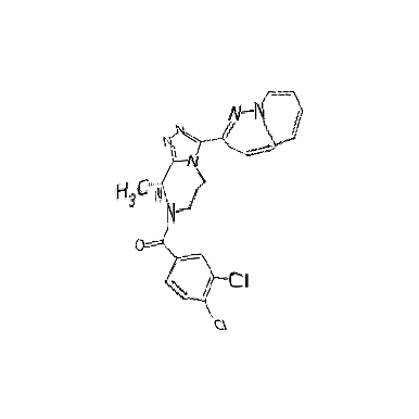 C[C@@H]1c2nnc(-c3cc4ccccn4n3)n2CCN1C(=O)c1ccc(Cl)c(Cl)c1